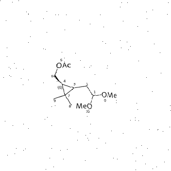 COC(CC1[C@H](COC(C)=O)C1(C)C)OC